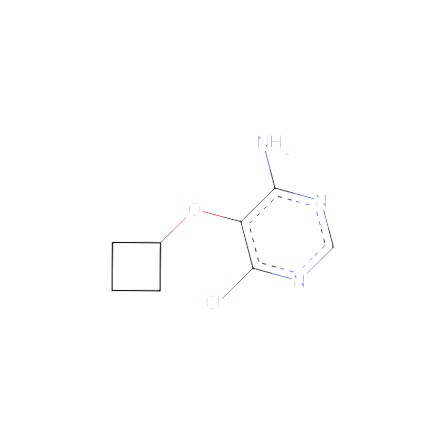 Nc1ncnc(Cl)c1OC1CCC1